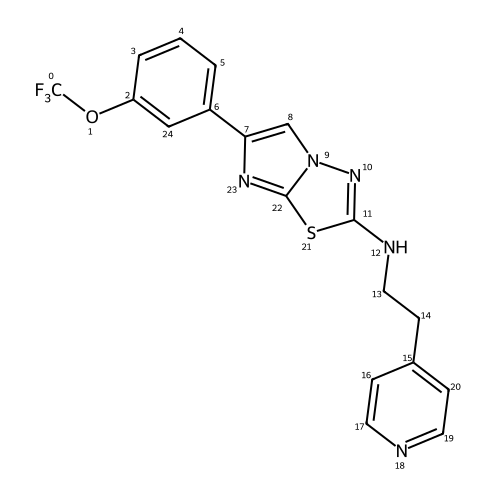 FC(F)(F)Oc1cccc(-c2cn3nc(NCCc4ccncc4)sc3n2)c1